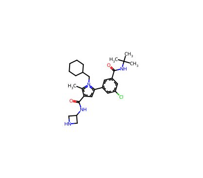 Cc1c(C(=O)NC2CNC2)cc(-c2cc(Cl)cc(C(=O)NC(C)(C)C)c2)n1CC1CCCCC1